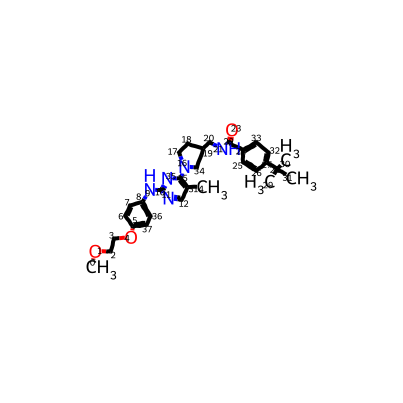 COCCOc1ccc(Nc2ncc(C)c(N3CCC(CNC(=O)c4ccc(C(C)(C)C)cc4)C3)n2)cc1